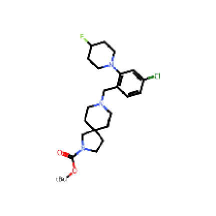 CC(C)(C)OC(=O)N1CCC2(CCN(Cc3ccc(Cl)cc3N3CCC(F)CC3)CC2)C1